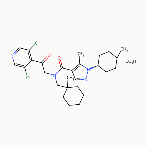 CC1(CN(CC(=O)c2c(Cl)cncc2Cl)C(=O)c2cnn([C@H]3CC[C@](C)(C(=O)O)CC3)c2C(F)(F)F)CCCCC1